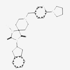 CCN1C(=O)N(C2Cc3ccccc3C2)C(=O)C12CCN(Cc1ccc(N3CCCC3)nc1)CC2